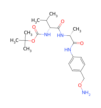 CC(C)[C@@H](NC(=O)OC(C)(C)C)C(=O)N[C@H](C)C(=O)Nc1ccc(CON)cc1